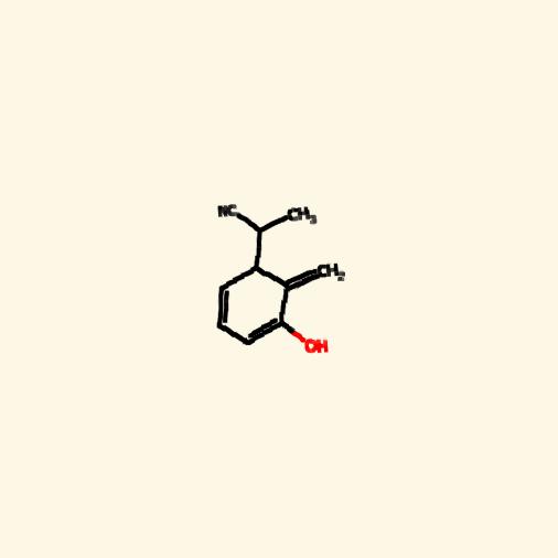 C=C1C(O)=CC=CC1C(C)C#N